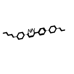 CCCCC[C@H]1CC[C@H](c2ccc(-c3ccc([C@H]4CC[C@H](CCC)CC4)cc3)nn2)CC1